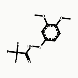 COc1ccc(SNC(=O)C(F)(F)F)cc1OC